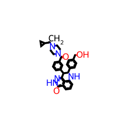 C=C(C1CC1)N1CCN(C(=O)c2cccc(C3c4n[nH]c(=O)c5cccc(c45)NC3c3ccc(CO)cc3)c2)CC1